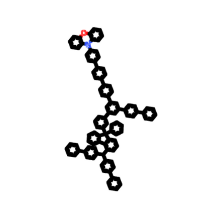 c1ccc(-c2ccc(-c3cc(-c4ccc(-c5ccc(-c6ccc(N7c8ccccc8Oc8ccccc87)cc6)cc5)cc4)cc(-c4cccc(C5(c6ccccc6)c6ccccc6-c6c(C(c7ccc(-c8ccccc8)cc7)c7ccc(-c8ccccc8)cc7)cccc65)c4)c3)cc2)cc1